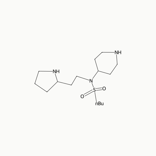 CCCCS(=O)(=O)N(CCC1CCCN1)C1CCNCC1